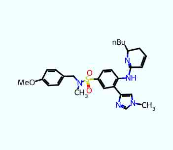 CCCCC1CC=CC(Nc2ccc(S(=O)(=O)N(C)Cc3ccc(OC)cc3)cc2-c2cn(C)cn2)=N1